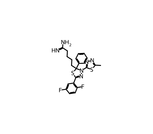 Cc1nnc(N2N=C(c3cc(F)ccc3F)SC2(CCCCC(=N)N)c2ccccc2)s1